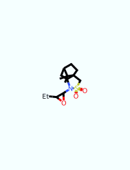 CCC1OC1N1C2CC3CCC2(CS1(=O)=O)C3(C)C